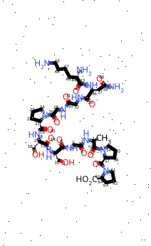 C[C@H](NC(=O)CNC(=O)[C@H](CO)NC(=O)[C@H](CO)NC(=O)[C@@H]1CCCN1C(=O)CNC(=O)CNC(=O)[C@H](CC(N)=O)NC(=O)[C@@H](N)CCCCN)C(=O)N1CCC[C@H]1C(=O)N1CCC[C@H]1C(=O)O